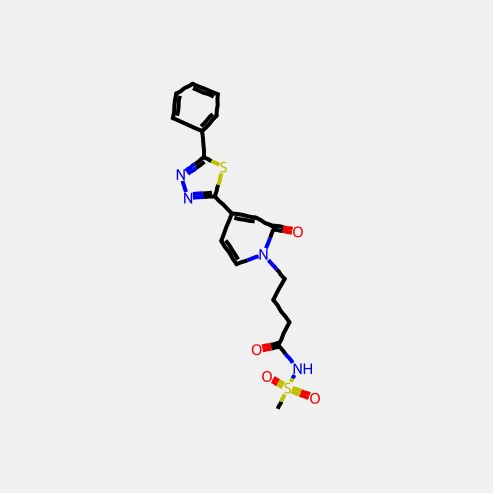 CS(=O)(=O)NC(=O)CCCn1ccc(-c2nnc(-c3ccccc3)s2)cc1=O